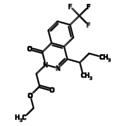 CCOC(=O)Cn1nc(C(C)CC)c2cc(C(F)(F)F)ccc2c1=O